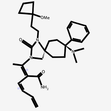 C=C/C=C\C(C(N)=O)=C(/C)N1C[C@]2(CC[C@](c3ccccc3)(N(C)C)CC2)N(CCC2(OC)CCC2)C1=O